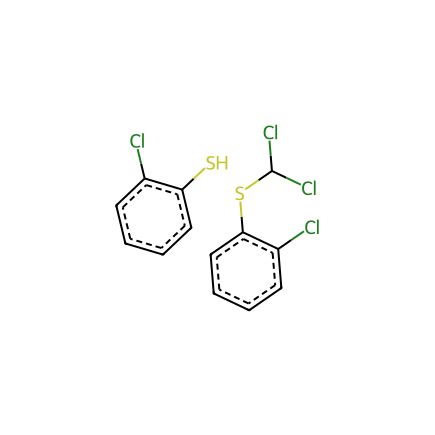 Clc1ccccc1SC(Cl)Cl.Sc1ccccc1Cl